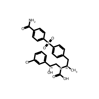 C[C@H](Cc1ccc(S(=O)(=O)c2ccc(C(N)=O)cc2)cc1)N(C[C@H](O)c1cccc(Cl)c1)C(=O)O